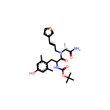 Cc1cc(O)cc(C)c1CC(NC(=O)OC(C)(C)C)C(=O)N(C/C=C/c1ccsc1)[C@H](C)C(N)=O